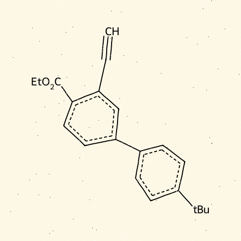 C#Cc1cc(-c2ccc(C(C)(C)C)cc2)ccc1C(=O)OCC